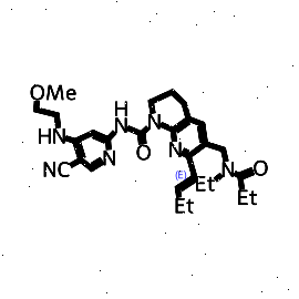 CC/C=C/c1nc2c(cc1CN(CC)C(=O)CC)CCCN2C(=O)Nc1cc(NCCOC)c(C#N)cn1